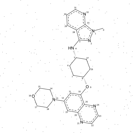 Cn1nc(N[C@H]2CC[C@@H](Oc3cc(N4CCOCC4)cc4nccnc34)CC2)c2cccnc21